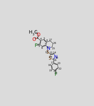 COC(=O)c1cc2c(cc1F)N(Sc1cnc(-c3ccc(F)cc3)s1)CCC2